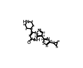 O=c1cc(C2CCNCC2)n2ncc(-c3nc(C4CC4)cs3)c2[nH]1